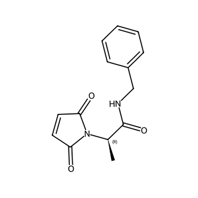 C[C@H](C(=O)NCc1ccccc1)N1C(=O)C=CC1=O